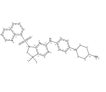 CC1(C)CN(S(=O)(=O)c2cccc3cccnc23)c2nc(Nc3ccc(N4CCC(N)CC4)cc3)ncc21